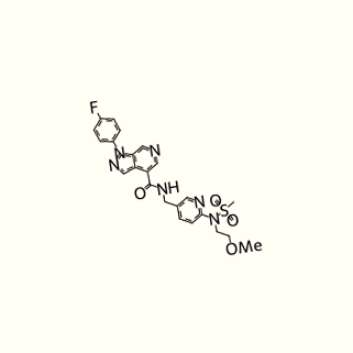 COCCN(c1ccc(CNC(=O)c2cncc3c2cnn3-c2ccc(F)cc2)cn1)S(C)(=O)=O